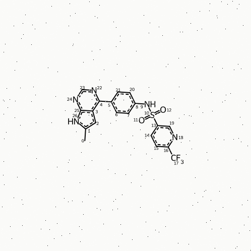 Cc1cc2c(-c3ccc(NS(=O)(=O)c4ccc(C(F)(F)F)nc4)cc3)ncnc2[nH]1